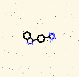 c1ccc2c(c1)[N]N=C2c1ccc(-c2nnn[nH]2)cc1